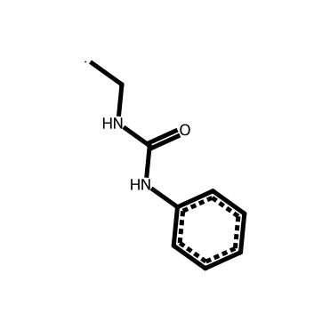 [CH2]CNC(=O)Nc1ccccc1